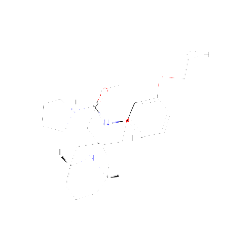 O=C(O)COc1cccc(N(C(=O)N2CCCC2)[C@H]2C[C@H]3CCC[C@@H](C2)N3[C@H]2C[C@@H]3CCC[C@@H](C3)C2)c1